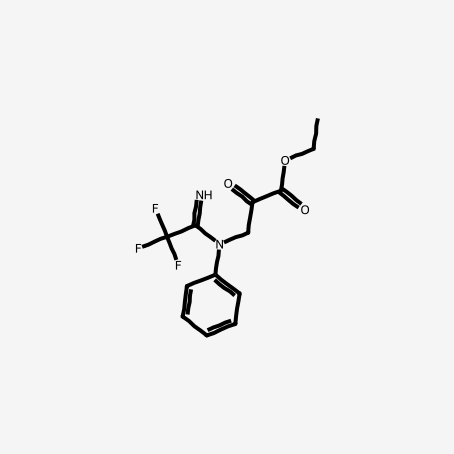 CCOC(=O)C(=O)CN(C(=N)C(F)(F)F)c1ccccc1